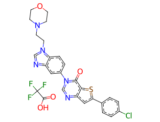 O=C(O)C(F)(F)F.O=c1c2sc(-c3ccc(Cl)cc3)cc2ncn1-c1ccc2c(c1)ncn2CCN1CCOCC1